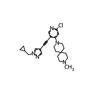 CN1CCC2(CC1)CCN(c1cc(Cl)ncc1C#Cc1cnn(CC3CC3)c1)CC2